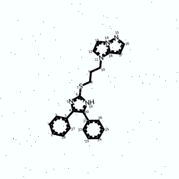 c1ccc(-c2nc(SCCCn3ccn4nccc34)[nH]c2-c2ccccc2)cc1